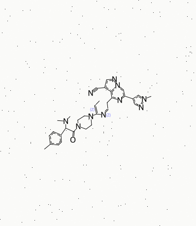 C/C=C(\N=C/Cc1nc(-c2cnn(C)c2)cn2ncc(C#N)c12)N1CCN(C(=O)C(c2ccc(C)cc2)N(C)C)CC1